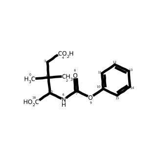 CC(C)(CC(=O)O)C(NC(=O)Oc1ccccc1)C(=O)O